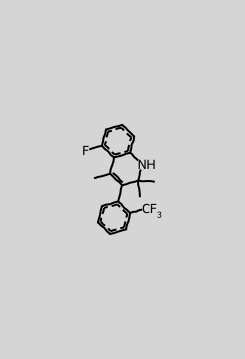 CC1=C(c2ccccc2C(F)(F)F)C(C)(C)Nc2cccc(F)c21